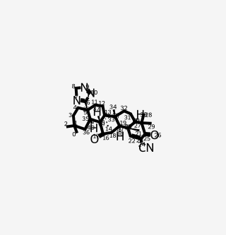 CC1(C)CC[C@]2(C3=NCN=N3)CC[C@]3(C)[C@H](C(=O)C[C@@H]4[C@@]5(C)C=C(C#N)C(=O)C(C)(C)[C@@H]5CC[C@]43C)[C@@H]2C1